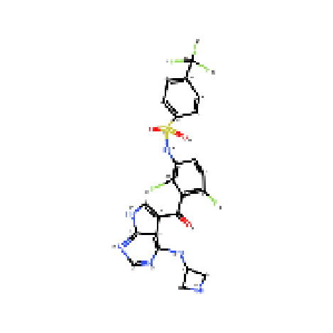 O=C(c1c(F)ccc(NS(=O)(=O)c2ccc(C(F)(F)F)cc2)c1F)c1c[nH]c2ncnc(NC3CNC3)c12